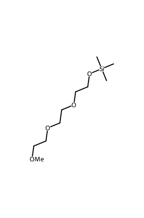 COCCOCCOCCO[Si](C)(C)C